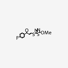 COc1nnc(S/C=C/C(=O)c2ccc(F)cc2)s1